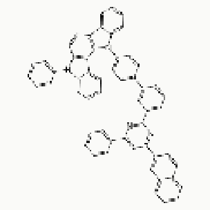 c1ccc(-c2cc(-c3ccc4ccccc4c3)nc(-c3cccc(-c4ccc(-n5c6ccccc6c6ccc7c(c8ccccc8n7-c7ccccc7)c65)cc4)c3)n2)cc1